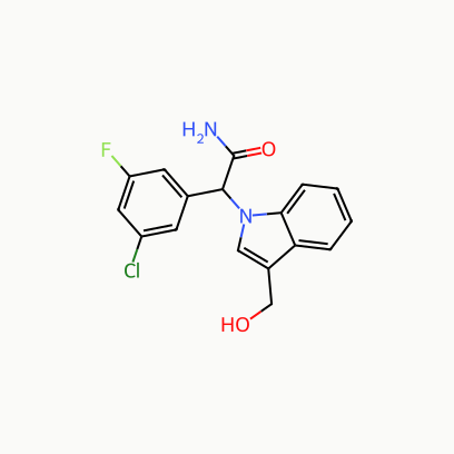 NC(=O)C(c1cc(F)cc(Cl)c1)n1cc(CO)c2ccccc21